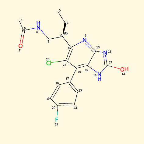 CC[C@H](CNC(C)=O)c1nc2nc(O)[nH]c2c(-c2ccc(F)cc2)c1Cl